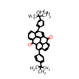 CC(C)(C)c1ccc(-c2cc3c4c5c2cccc5c(=O)c2cc(-c5ccc(C(C)(C)C)cc5)c5cccc(c3=O)c5c2-4)cc1